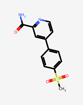 CS(=O)(=O)c1ccc(-c2ccnc(C(N)=O)c2)cc1